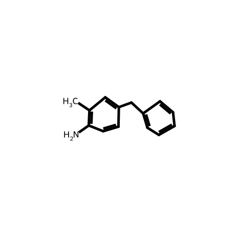 Cc1cc(Cc2ccccc2)ccc1N